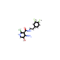 Nc1c(Br)cnc(Cl)c1C(=O)NCCc1ccc(F)c(F)c1